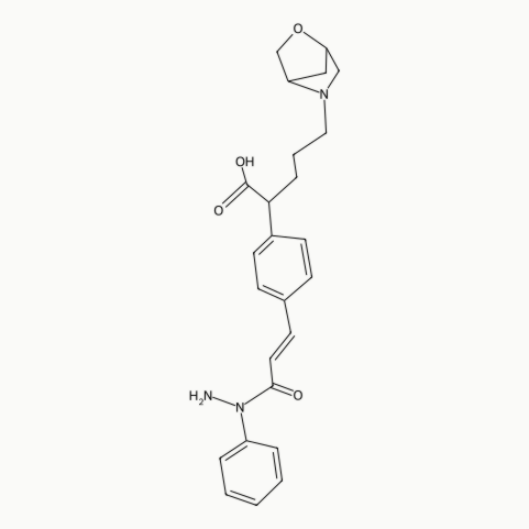 NN(C(=O)C=Cc1ccc(C(CCCN2CC3CC2CO3)C(=O)O)cc1)c1ccccc1